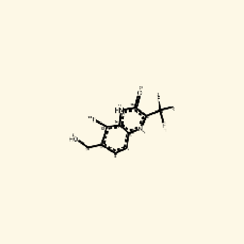 CC(F)(F)c1nc2ccc(CO)c(F)c2[nH]c1=O